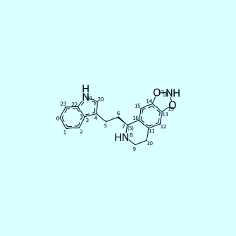 c1ccc2c(CC[C@@H]3NCCc4cc5c(cc43)ONO5)c[nH]c2c1